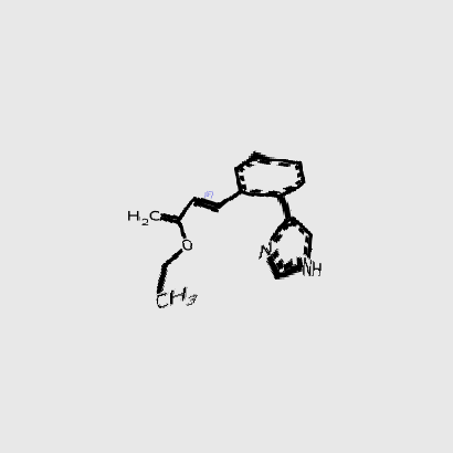 C=C(/C=C/c1ccccc1-c1c[nH]cn1)OCC